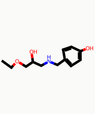 CCOCC(O)CNCc1ccc(O)cc1